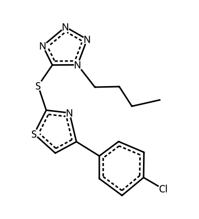 CCCCn1nnnc1Sc1nc(-c2ccc(Cl)cc2)cs1